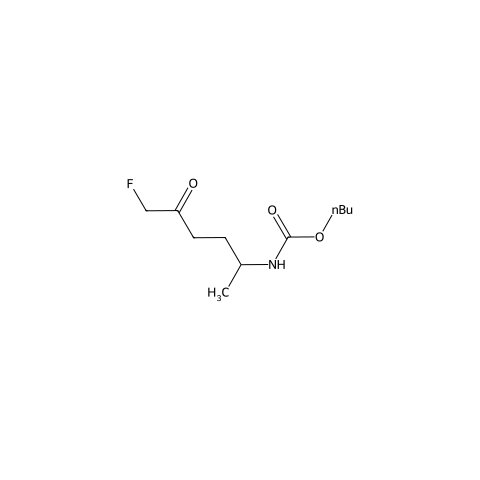 CCCCOC(=O)NC(C)CCC(=O)CF